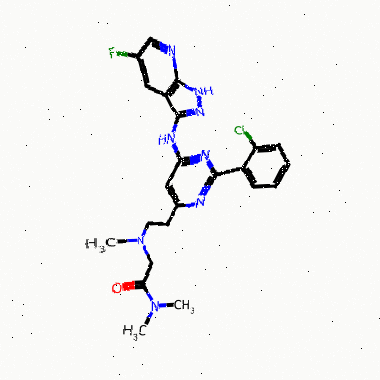 CN(CCc1cc(Nc2n[nH]c3ncc(F)cc23)nc(-c2ccccc2Cl)n1)CC(=O)N(C)C